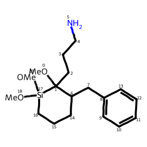 COC1(CCCN)C(Cc2ccccc2)CCC[Si]1(OC)OC